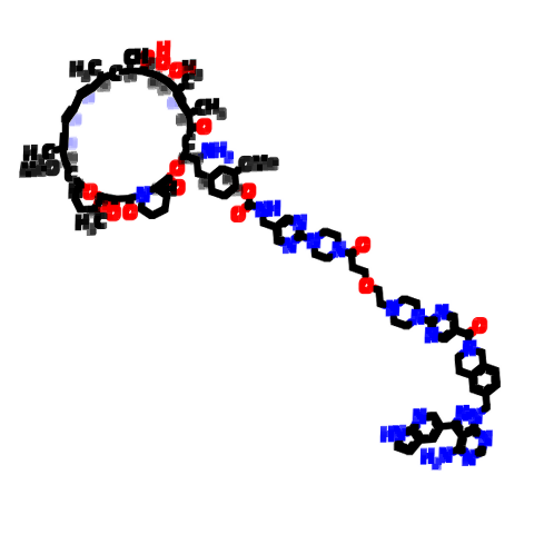 CO[C@H]1C[C@@H]2CC[C@@H](C)[C@@](O)(O2)C(=O)C(=O)N2CCCC[C@H]2C(=O)O[C@H]([C@H](N)C[C@@H]2CC[C@@H](OC(=O)NCc3cnc(N4CCN(C(=O)CCOCCN5CCN(c6ncc(C(=O)N7CCc8cc(Cn9nc(-c%10cnc%11[nH]ccc%11c%10)c%10c(N)ncnc%109)ccc8C7)cn6)CC5)CC4)nc3)[C@H](OC)C2)CC(=O)[C@H](C)/C=C(\C)[C@@H](O)[C@@H](O)C(=O)[C@H](C)C[C@H](C)/C=C/C=C/C=C/1C